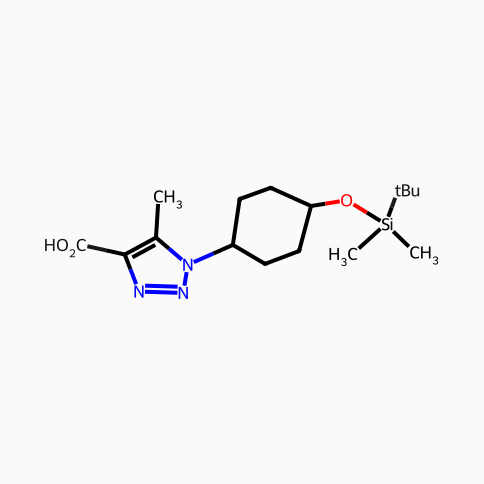 Cc1c(C(=O)O)nnn1C1CCC(O[Si](C)(C)C(C)(C)C)CC1